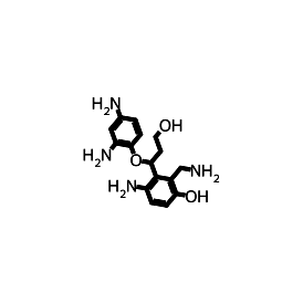 NCc1c(O)ccc(N)c1C(CCO)Oc1ccc(N)cc1N